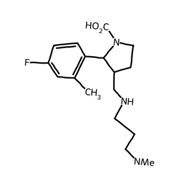 CNCCCNCC1CCN(C(=O)O)C1c1ccc(F)cc1C